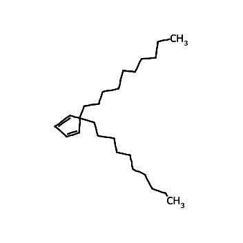 CCCCCCCCCCC1(CCCCCCCCCC)C=CC=C1